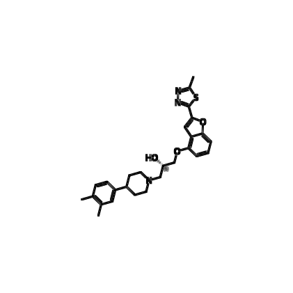 Cc1nnc(-c2cc3c(OC[C@@H](O)CN4CCC(c5ccc(C)c(C)c5)CC4)cccc3o2)s1